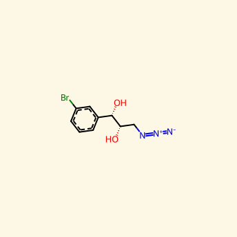 [N-]=[N+]=NC[C@H](O)[C@@H](O)c1cccc(Br)c1